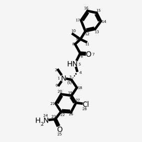 CN(C)[C@H](CNC(=O)CC(C)(C)c1ccccc1)Cc1ccc(C(N)=O)cc1Cl